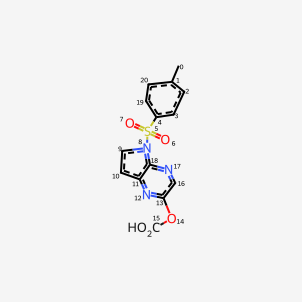 Cc1ccc(S(=O)(=O)n2ccc3nc(OC(=O)O)cnc32)cc1